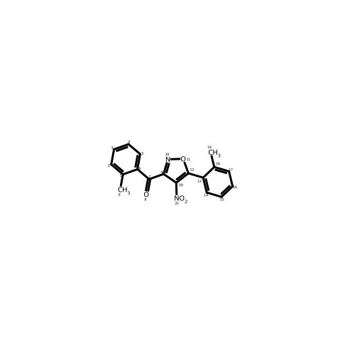 Cc1ccccc1C(=O)c1noc(-c2ccccc2C)c1[N+](=O)[O-]